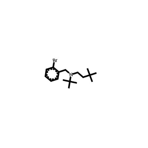 CC(C)(C)CCN(Cc1ccccc1Br)C(C)(C)C